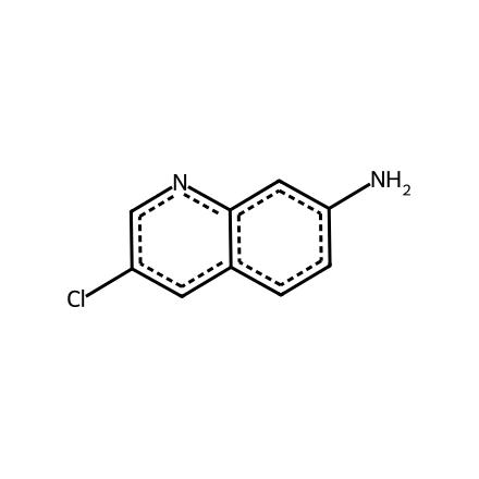 Nc1ccc2cc(Cl)cnc2c1